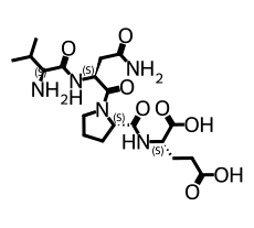 CC(C)[C@H](N)C(=O)N[C@@H](CC(N)=O)C(=O)N1CCC[C@H]1C(=O)N[C@@H](CCC(=O)O)C(=O)O